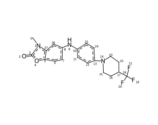 Cn1c(=O)oc2ccc(Nc3ccc(N4CCC(C(F)(F)F)CC4)cc3)cc21